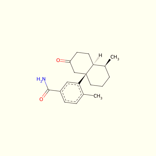 Cc1ccc(C(N)=O)cc1[C@]12CCC[C@H](C)[C@@H]1CCC(=O)C2